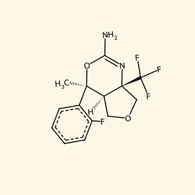 C[C@]1(c2ccccc2F)OC(N)=N[C@]2(C(F)(F)F)COC[C@@H]12